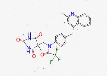 Cc1cc(Cc2ccc(N(CC3(C)C(=O)NC(=O)NC3=O)C(=O)C(F)(F)F)cc2)c2ccccc2n1